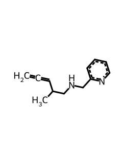 C=C=CC(C)CNCc1ccccn1